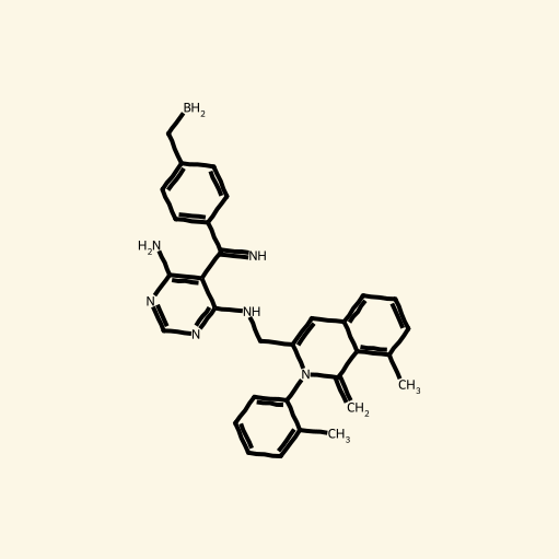 BCc1ccc(C(=N)c2c(N)ncnc2NCC2=Cc3cccc(C)c3C(=C)N2c2ccccc2C)cc1